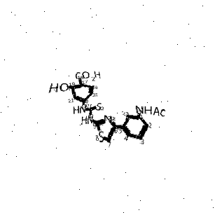 CC(=O)Nc1cccc(-c2csc(NC(=S)Nc3ccc(C(=O)O)c(O)c3)n2)c1